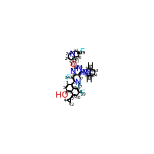 Oc1ccc(-c2ncc3c(N4C[C@H]5CC[C@@H](C4)N5)nc(OC[C@@]45CCCN4C[C@H](F)C5)nc3c2F)c2c(F)c(F)cc(C3CC3)c12